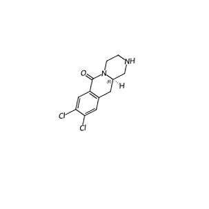 O=C1c2cc(Cl)c(Cl)cc2C[C@@H]2CNCCN12